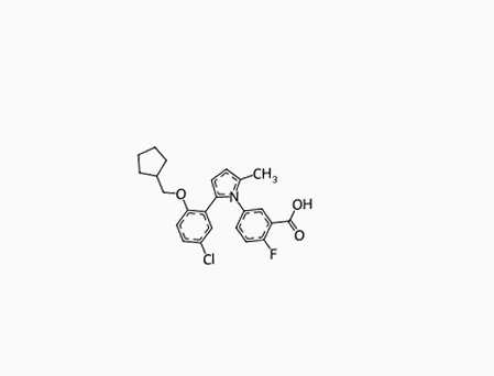 Cc1ccc(-c2cc(Cl)ccc2OCC2CCCC2)n1-c1ccc(F)c(C(=O)O)c1